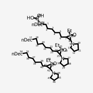 CCCCCCCCCCCCCCCCC1C(N2CCCC2)P1(=O)CC.CCCCCCCCCCCCCCCCC1C(N2CCCC2)P1(=O)CC.CCCCCCCCCCCCCCCCC1C(N2CCCC2)P1(=O)CC.OB(O)O